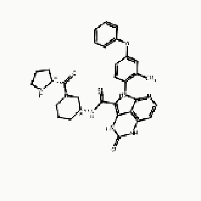 Cc1cc(Oc2ccccc2)ccc1[SH]1C(C(=O)N[C@@H]2CCCN(C(=O)[C@H]3CCCN3)C2)=C2NC(=O)Nc3ccnc1c32